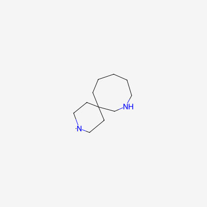 C1CCNCC2(CC1)CC[N]CC2